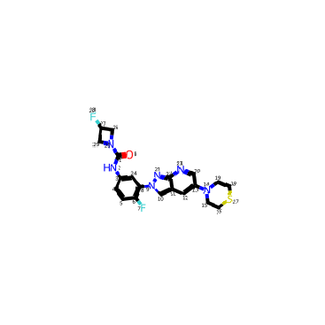 O=C(Nc1ccc(F)c(-n2cc3cc(N4CCSCC4)cnc3n2)c1)N1CC(F)C1